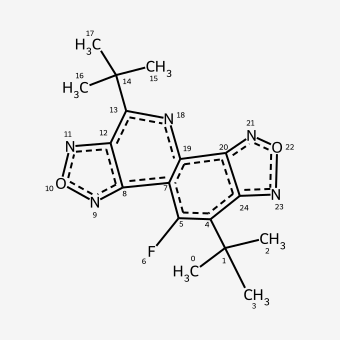 CC(C)(C)c1c(F)c2c3nonc3c(C(C)(C)C)nc2c2nonc12